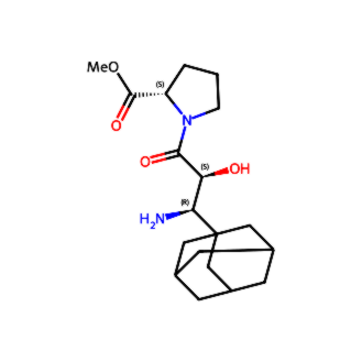 COC(=O)[C@@H]1CCCN1C(=O)[C@@H](O)[C@H](N)C12CC3CC(CC(C3)C1)C2